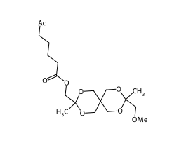 COCC1(C)OCC2(CO1)COC(C)(COC(=O)CCCCC(C)=O)OC2